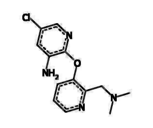 CN(C)Cc1ncccc1Oc1ncc(Cl)cc1N